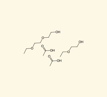 CC(=O)O.CC(=O)O.CCOCCO.CCOCCOCCO